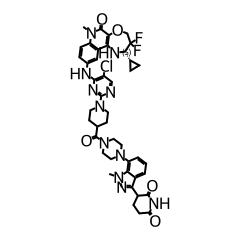 Cn1nc(C2CCC(=O)NC2=O)c2cccc(N3CCN(C(=O)C4CCN(c5ncc(Cl)c(Nc6ccc7c(c6)c6c(c(=O)n7C)OCC(F)(F)[C@H](C7CC7)N6)n5)CC4)CC3)c21